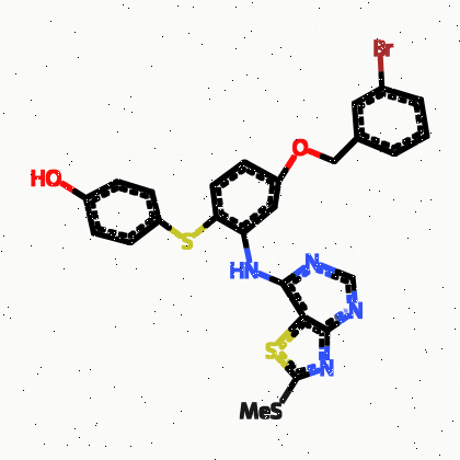 CSc1nc2ncnc(Nc3cc(OCc4cccc(Br)c4)ccc3Sc3ccc(O)cc3)c2s1